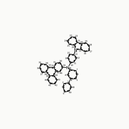 c1ccc(-c2cccc(N(c3ccc(-n4c5ccccc5c5ccccc54)cc3)c3ccc4c5ccccc5c5ccccc5c4c3)c2)cc1